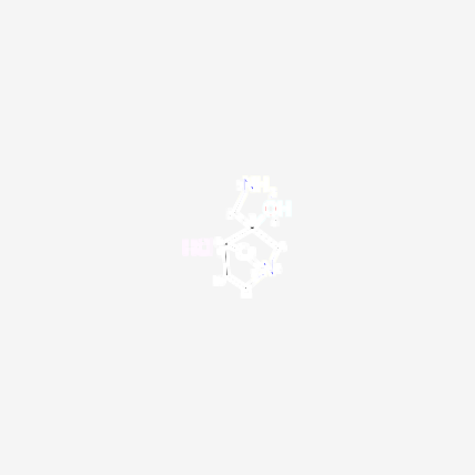 Cl.NCC1(O)CN2CCC1CC2